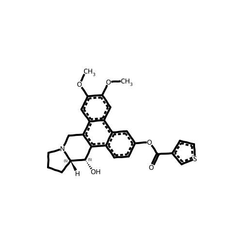 COc1cc2c3c(c4ccc(OC(=O)c5ccsc5)cc4c2cc1OC)[C@H](O)[C@@H]1CCCN1C3